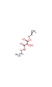 C=CCOC(=O)C(O)C(=O)OCC=C